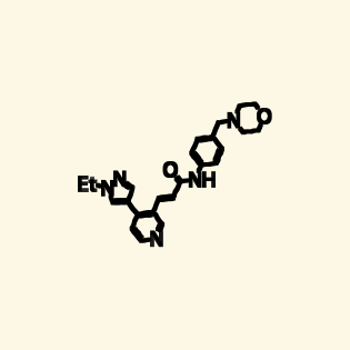 CCn1cc(-c2ccncc2C=CC(=O)Nc2ccc(CN3CCOCC3)cc2)cn1